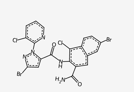 NC(=O)c1cc2cc(Br)ccc2c(Cl)c1NC(=O)c1cc(Br)nn1-c1ncccc1Cl